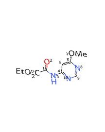 CCOC(=O)C(=O)Nc1cc(OC)ncn1